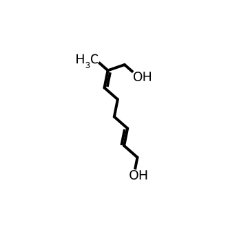 CC(=CCCC=CCO)CO